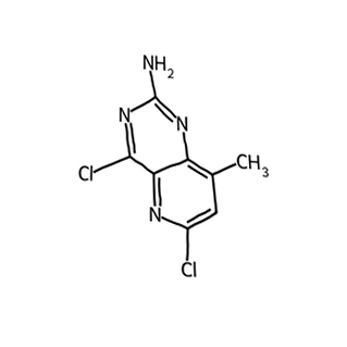 Cc1cc(Cl)nc2c(Cl)nc(N)nc12